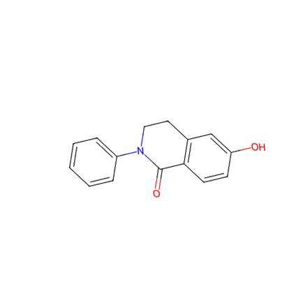 O=C1c2ccc(O)cc2CCN1c1ccccc1